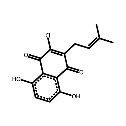 CC(C)=CCC1=C(Cl)C(=O)c2c(O)ccc(O)c2C1=O